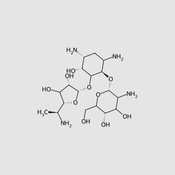 C[C@H](N)[C@H]1O[C@@H](OC2[C@H](O[C@H]3OC(CO)[C@@H](O)C(O)C3N)C(N)C[C@@H](N)[C@H]2O)[C@@H](O)C1O